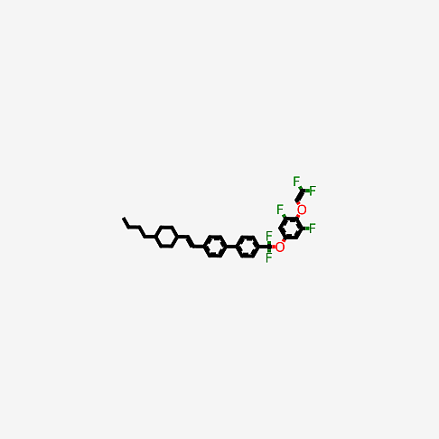 CCCCC1CCC(/C=C/c2ccc(-c3ccc(C(F)(F)Oc4cc(F)c(OC=C(F)F)c(F)c4)cc3)cc2)CC1